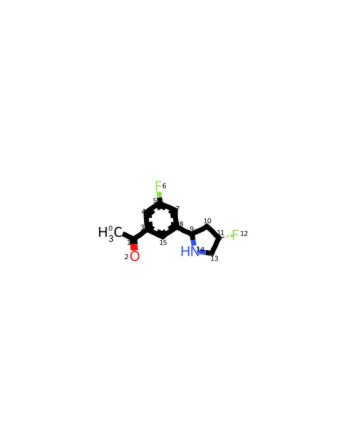 CC(=O)c1cc(F)cc(C2C[C@H](F)CN2)c1